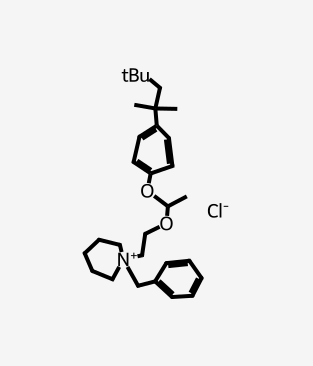 CC(OCC[N+]1(Cc2ccccc2)CCCCC1)Oc1ccc(C(C)(C)CC(C)(C)C)cc1.[Cl-]